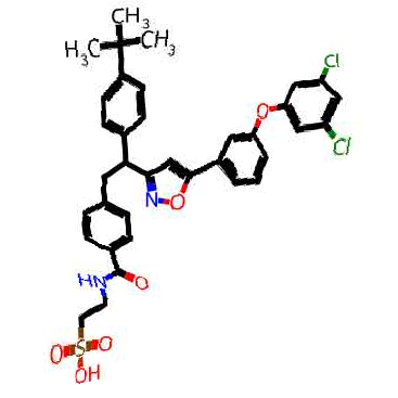 CC(C)(C)c1ccc(C(Cc2ccc(C(=O)NCCS(=O)(=O)O)cc2)c2cc(-c3cccc(Oc4cc(Cl)cc(Cl)c4)c3)on2)cc1